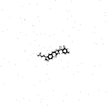 CN(C)CCn1cnc2ccc(C=C3SC(Nc4ccc(F)cc4F)=NC3=O)cc21